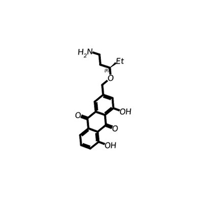 CC[C@H](CCN)OCc1cc(O)c2c(c1)C(=O)c1cccc(O)c1C2=O